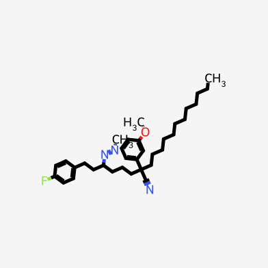 CCCCCCCCCCCCC(C#N)(CCCC(CCc1ccc(F)cc1)N=NC)c1cccc(OC)c1